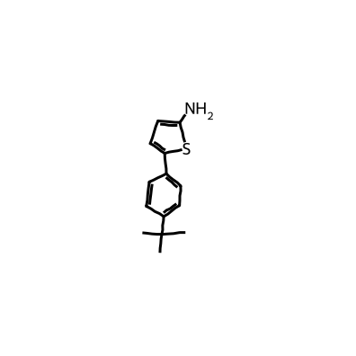 CC(C)(C)c1ccc(-c2ccc(N)s2)cc1